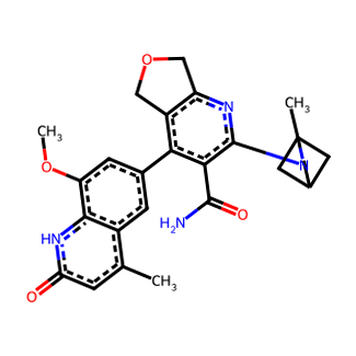 COc1cc(-c2c3c(nc(N4CC5CC4(C)C5)c2C(N)=O)COC3)cc2c(C)cc(=O)[nH]c12